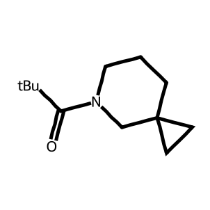 CC(C)(C)C(=O)N1CCCC2(CC2)C1